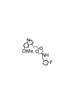 COc1ccc2nccc(CCC3OCC(NCc4cccc(F)c4)CO3)c2c1